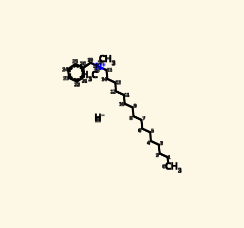 CCCCCCCCCCCCCCCC[N+](C)(C)Cc1ccccc1.[H-]